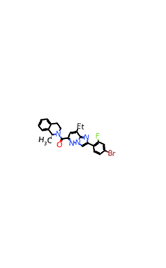 CCc1cc(C(=O)N2CCc3ccccc3[C@H]2C)nn2cc(-c3ccc(Br)cc3F)nc12